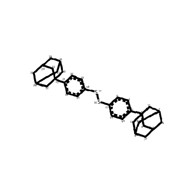 c1cc(C23CC4CC(CC(C4)C2)C3)ccc1SSc1ccc(C23CC4CC(CC(C4)C2)C3)cc1